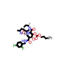 CC1=NO[C@@]2(CC[C@H](C)N3C[C@H]2n2cc(C(=O)NCc4ccc(F)cc4F)c(=O)c(OC(=O)OCCCC(C)C)c2C3=O)C1